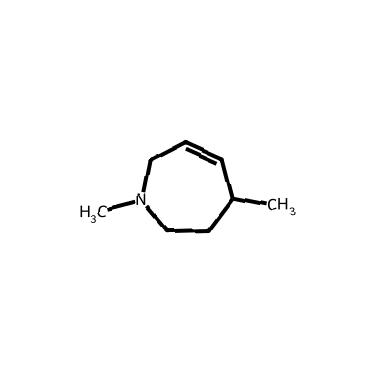 CC1C=CCN(C)CC1